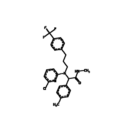 CNC(=O)C(c1ccc(C)cc1)N(CCCc1ccc(C(F)(F)F)cc1)c1cccc(Cl)n1